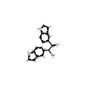 CC(=O)C(C(=O)c1ccc2occc2c1)c1ccc2occc2c1